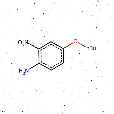 CCCCOc1ccc(N)c([N+](=O)[O-])c1